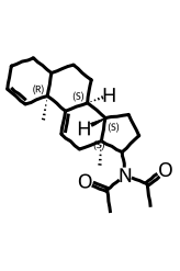 CC(=O)N(C(C)=O)C1CC[C@H]2[C@@H]3CCC4CCC=C[C@]4(C)C3=CC[C@]12C